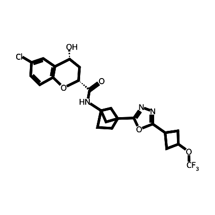 O=C(NC12CCC(c3nnc(C4CC(OC(F)(F)F)C4)o3)(C1)C2)[C@H]1C[C@@H](O)c2cc(Cl)ccc2O1